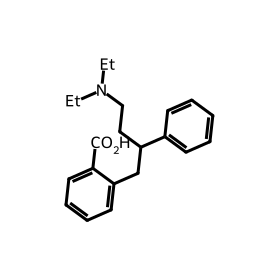 CCN(CC)CCC(Cc1ccccc1C(=O)O)c1ccccc1